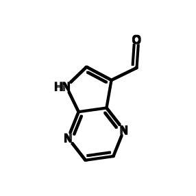 O=Cc1c[nH]c2nccnc12